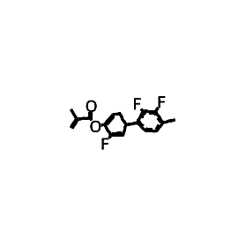 C=C(C)C(=O)OC1=CCC(c2ccc(C)c(F)c2F)C=C1F